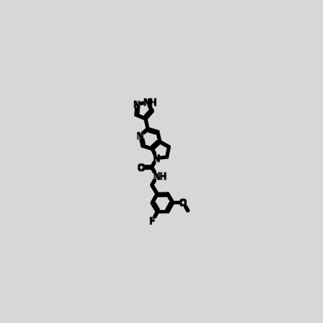 COc1cc(F)cc(CNC(=O)N2CCc3cc(-c4cn[nH]c4)ncc32)c1